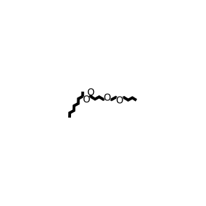 CCCCCCC(C)OC(=O)CCCOCCOCCCC